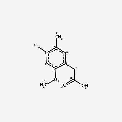 COc1cc(I)c(C)cc1CC(=O)O